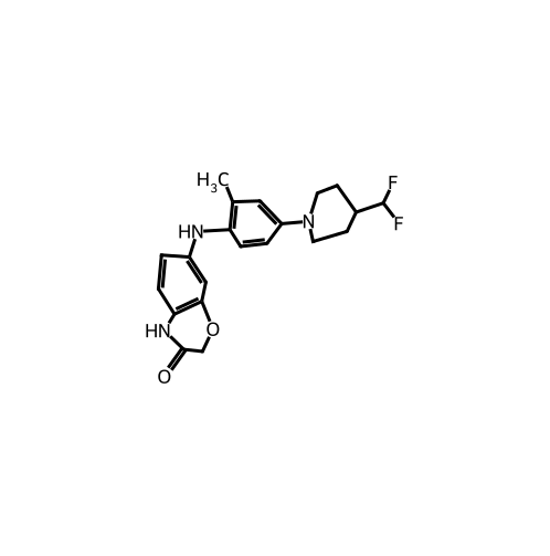 Cc1cc(N2CCC(C(F)F)CC2)ccc1Nc1ccc2c(c1)OCC(=O)N2